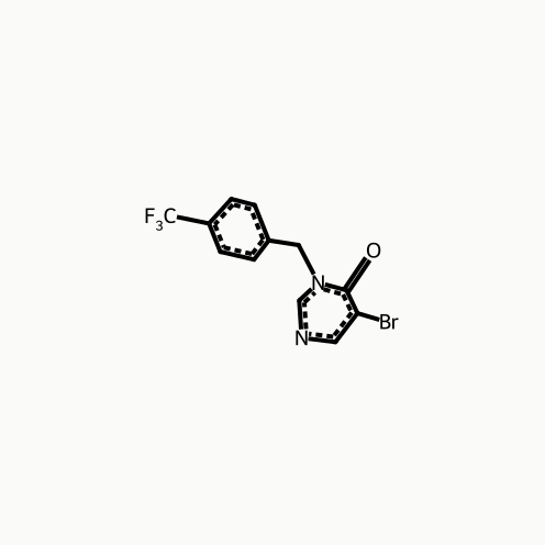 O=c1c(Br)cncn1Cc1ccc(C(F)(F)F)cc1